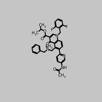 CC(=O)Nc1ccc(-c2ccc3c(c2CN(C)Cc2ccccc2)c(=O)c(C(=O)OC(C)C)cn3Cc2c(F)cccc2F)nc1